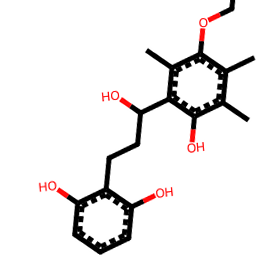 CCOc1c(C)c(C)c(O)c(C(O)CCc2c(O)cccc2O)c1C